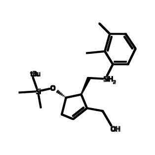 Cc1cccc([SiH2]C[C@H]2C(CO)=CC[C@@H]2O[Si](C)(C)C(C)(C)C)c1C